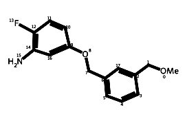 COCc1cccc(COc2ccc(F)c(N)c2)c1